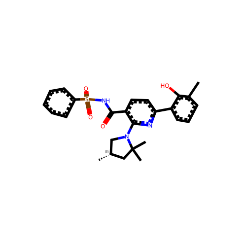 Cc1cccc(-c2ccc(C(=O)NS(=O)(=O)c3ccccc3)c(N3C[C@@H](C)CC3(C)C)n2)c1O